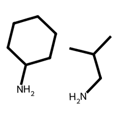 CC(C)CN.NC1CCCCC1